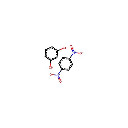 O=[N+]([O-])c1ccc([N+](=O)[O-])cc1.Oc1cccc(O)c1